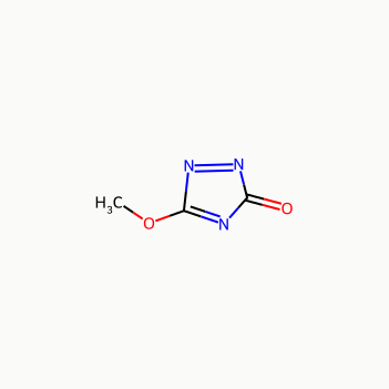 COC1=NC(=O)N=N1